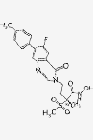 Cc1ccc(-c2cc3ncn(CC[C@](C)(C(=O)NO)S(C)(=O)=O)c(=O)c3cc2F)cc1